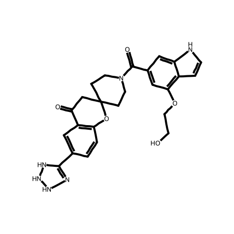 O=C1CC2(CCN(C(=O)c3cc(OCCO)c4cc[nH]c4c3)CC2)Oc2ccc(C3=NNNN3)cc21